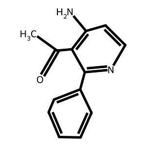 CC(=O)c1c(N)ccnc1-c1ccccc1